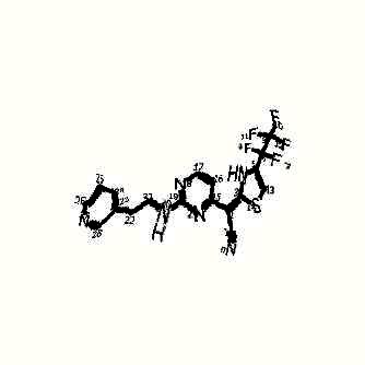 N#CC(=C1NC(C(F)(F)C(F)(F)F)=CS1)c1ccnc(NCCc2cccnc2)n1